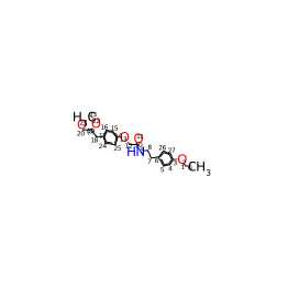 CCOc1ccc(CCNC(=O)COc2ccc(C[C@@H](C=O)OC)cc2)cc1